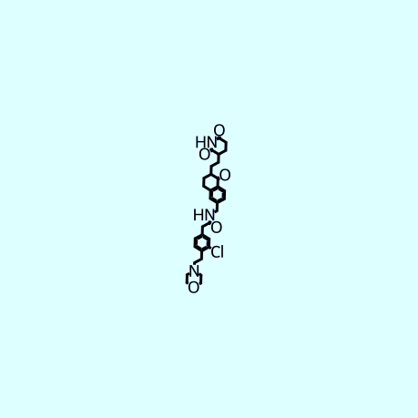 O=C(Cc1ccc(CCN2CCOCC2)c(Cl)c1)NCc1ccc2c(c1)CCC(CCC1CCC(=O)NC1=O)C2=O